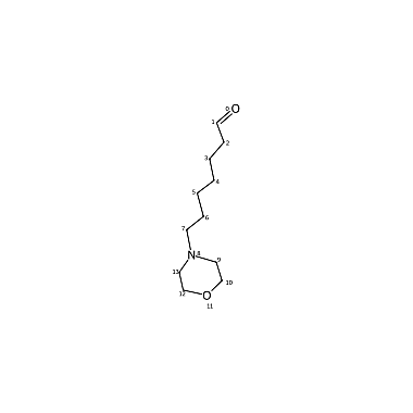 O=CCCCCCCN1CCOCC1